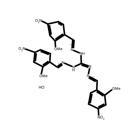 COc1cc([N+](=O)[O-])ccc1/C=N/N=C(N/N=C/c1ccc([N+](=O)[O-])cc1OC)N/N=C/c1ccc([N+](=O)[O-])cc1OC.Cl